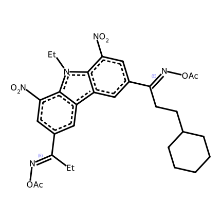 CC/C(=N\OC(C)=O)c1cc([N+](=O)[O-])c2c(c1)c1cc(/C(CCC3CCCCC3)=N/OC(C)=O)cc([N+](=O)[O-])c1n2CC